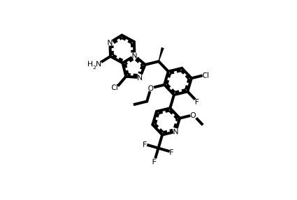 CCOc1c([C@H](C)c2nc(Cl)c3c(N)nccn23)cc(Cl)c(F)c1-c1ccc(C(F)(F)F)nc1OC